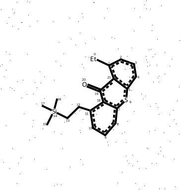 CCc1cccc2sc3cccc(CC[Si](C)(C)C)c3c(=O)c12